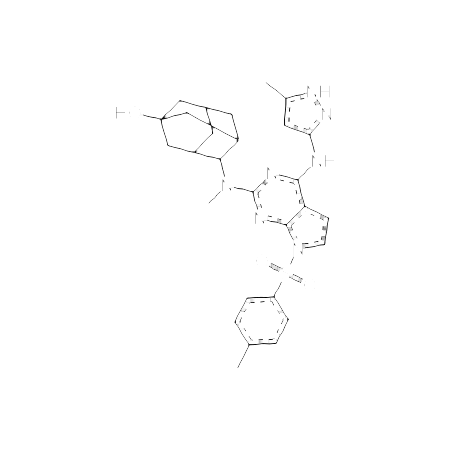 Cc1ccc(S(=O)(=O)n2ccc3c(Nc4cc(C)[nH]n4)nc(N(C)C4C5CC6CC4CC(O)(C6)C5)nc32)cc1